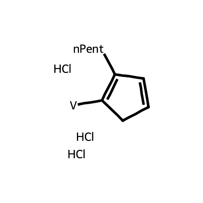 CCCCCC1=[C]([V])CC=C1.Cl.Cl.Cl